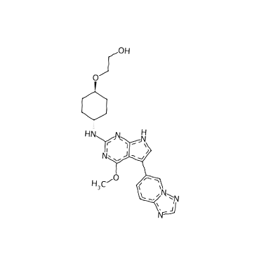 COc1nc(N[C@H]2CC[C@H](OCCO)CC2)nc2[nH]cc(-c3ccc4ncnn4c3)c12